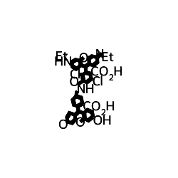 CC/N=c1\ccc2c(-c3c(Cl)c(C(=O)NCc4ccc(-c5c6ccc(=O)cc-6oc6cc(O)ccc56)c(C(=O)O)c4)cc(Cl)c3C(=O)O)c3ccc(NCC)cc3oc-2c1